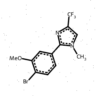 COc1cc(-c2nc(C(F)(F)F)cn2C)ccc1Br